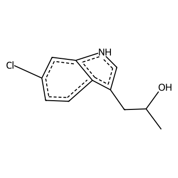 CC(O)Cc1c[nH]c2cc(Cl)ccc12